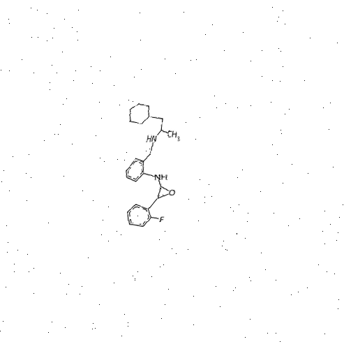 CC(CC1CCCCC1)NCc1ccccc1NC1OC1c1ccccc1F